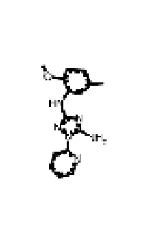 COc1ccc(C)cc1Nc1nc(N)n(-c2ccccn2)n1